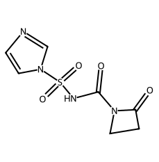 O=C1CCN1C(=O)NS(=O)(=O)n1ccnc1